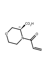 C=CC(=O)N1CCOC[C@H]1C(=O)O